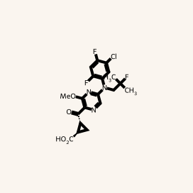 COc1nc(N(CC(C)(C)F)c2cc(Cl)c(F)cc2F)cnc1C(=O)[C@@H]1C[C@H]1C(=O)O